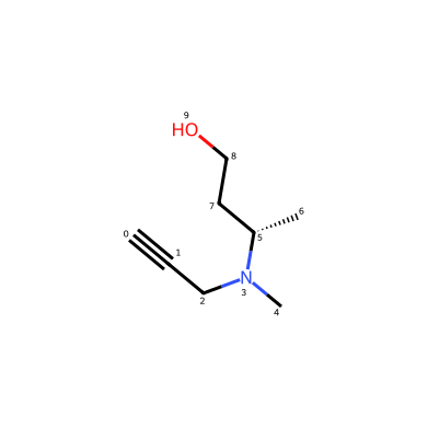 C#CCN(C)[C@@H](C)CCO